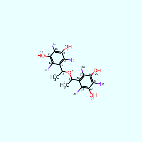 CC(OC(C)c1c(I)c(O)c(I)c(O)c1I)c1c(I)c(O)c(I)c(O)c1I